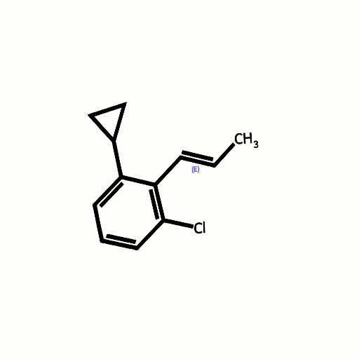 C/C=C/c1c(Cl)cccc1C1CC1